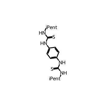 CCCC(C)NC(=S)Nc1ccc(NC(=S)NC(C)CCC)cc1